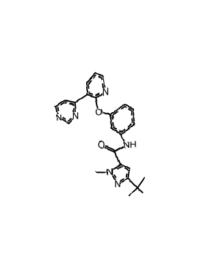 Cn1nc(C(C)(C)C)cc1C(=O)Nc1cccc(Oc2ncccc2-c2ccncn2)c1